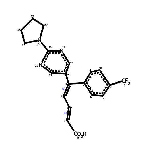 O=C(O)/C=C/C=C(\c1ccc(C(F)(F)F)cc1)c1cnc(N2CCCC2)nc1